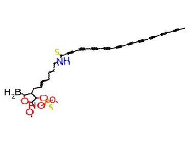 B[C@@H]1O[C@H](COC)C(OP(O)(=S)OC)[C@@H]1C/C=C/CCCCNC(=S)C#CC#CC#CC#CC#CC#CC#CC#CC#CC#CC